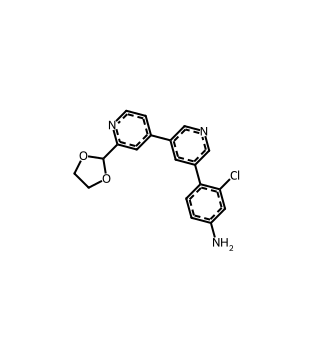 Nc1ccc(-c2cncc(-c3ccnc(C4OCCO4)c3)c2)c(Cl)c1